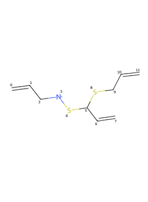 C=CC[N]SC(C=C)SCC=C